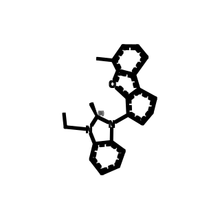 CCN1c2ccccc2N(c2cccc3c2oc2c(C)cccc23)[C@@H]1C